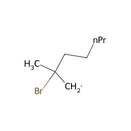 [CH2]C(C)(Br)CCCCC